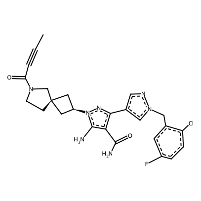 CC#CC(=O)N1CC[C@]2(C1)C[C@H](n1nc(-c3cnn(Cc4cc(F)ccc4Cl)c3)c(C(N)=O)c1N)C2